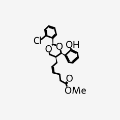 COC(=O)CC/C=C\C[C@H]1CO[C@@H](c2ccccc2Cl)O[C@H]1c1ccccc1O